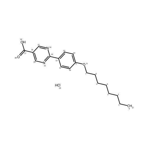 CCCCCCCCOc1ccc(-c2ncc(C(=O)O)cn2)cc1.Cl